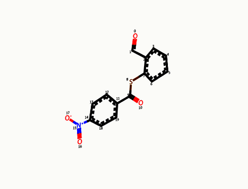 O=Cc1ccccc1SC(=O)c1ccc([N+](=O)[O-])cc1